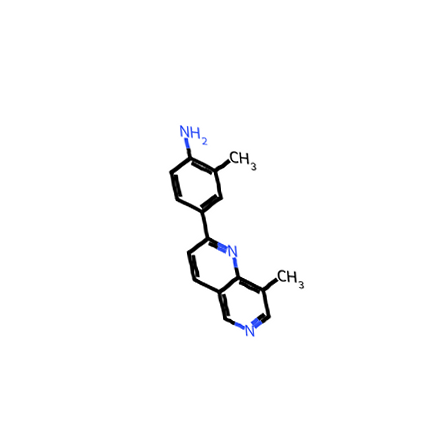 Cc1cc(-c2ccc3cncc(C)c3n2)ccc1N